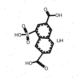 O=C(O)c1cc(S(=O)(=O)O)c2cc(C(=O)O)ccc2c1.[LiH]